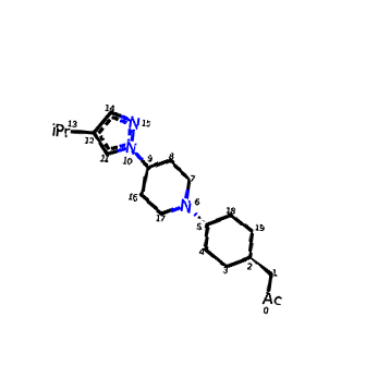 CC(=O)C[C@H]1CC[C@H](N2CCC(n3cc(C(C)C)cn3)CC2)CC1